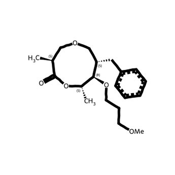 COCCCO[C@@H]1[C@@H](Cc2ccccc2)COC[C@H](C)C(=O)O[C@H]1C